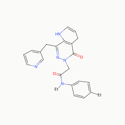 CCc1ccc(N(CC)C(=O)Cn2nc(Cc3cccnc3)c3c(c2=O)CC=CN3)cc1